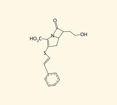 O=C(O)C1=C(SC=Cc2ccccc2)CC2C(CCO)C(=O)N12